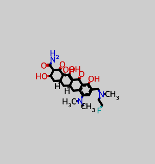 CN(CCF)Cc1cc(N(C)C)c2c(c1O)C(=O)C1=C(O)[C@]3(O)C(=O)C(C(N)=O)C(O)C[C@@H]3C[C@@H]1C2